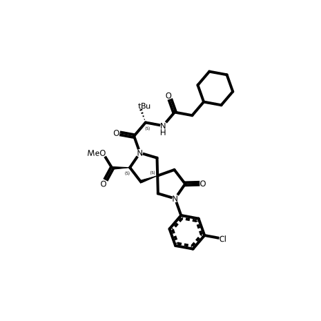 COC(=O)[C@@H]1C[C@]2(CC(=O)N(c3cccc(Cl)c3)C2)CN1C(=O)[C@@H](NC(=O)CC1CCCCC1)C(C)(C)C